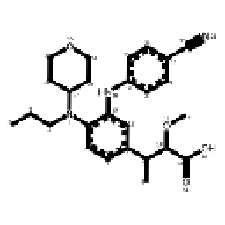 CCCN(c1ccc(C(C)C(OC)C(=O)O)cc1Nc1ccc(C#N)cc1)C1CCOCC1